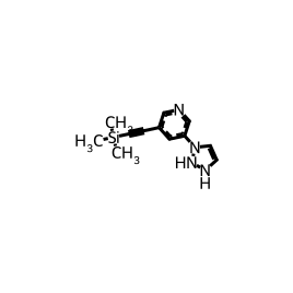 C[Si](C)(C)C#Cc1cncc(N2C=CNN2)c1